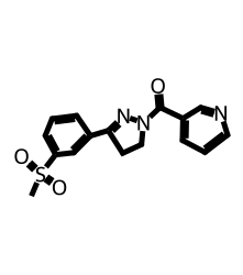 CS(=O)(=O)c1cccc(C2=NN(C(=O)c3cccnc3)CC2)c1